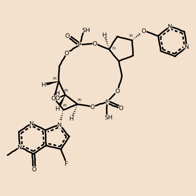 Cn1cnc2c(c(F)cn2[C@@H]2O[C@@H]3COP(=O)(S)O[C@H]4C[C@H](Oc5ccncn5)CC4COP(=O)(S)O[C@@H]2[C@@H]3O)c1=O